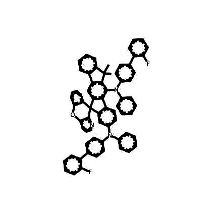 CC1(C)c2ccccc2-c2cc3c(c(N(c4ccccc4)c4ccc(-c5ccccc5F)cc4)c21)-c1ccc(N(c2ccccc2)c2ccc(-c4ccccc4F)cc2)cc1C31c2ccccc2Oc2cccnc21